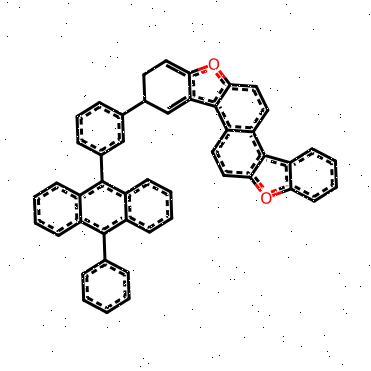 C1=c2oc3ccc4c(ccc5oc6ccccc6c54)c3c2=CC(c2cccc(-c3c4ccccc4c(-c4ccccc4)c4ccccc34)c2)C1